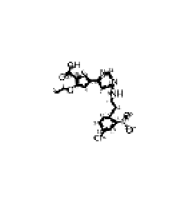 CCOc1cc(-c2cc(NCCc3ccc(Cl)cc3[N+](=O)[O-])ncn2)sc1C(=O)O